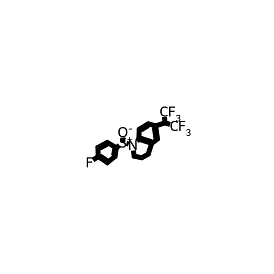 [O-][S+](c1ccc(F)cc1)N1CCCc2cc(C(C(F)(F)F)C(F)(F)F)ccc21